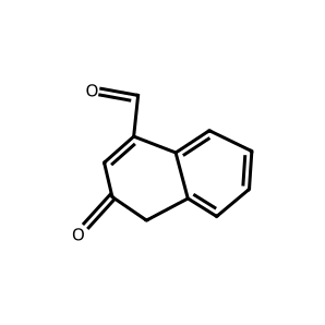 O=CC1=CC(=O)Cc2ccccc21